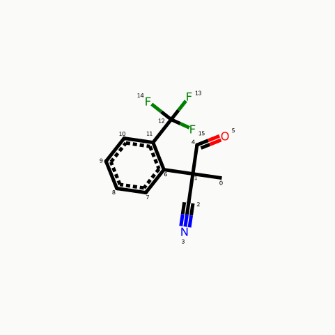 CC(C#N)(C=O)c1ccccc1C(F)(F)F